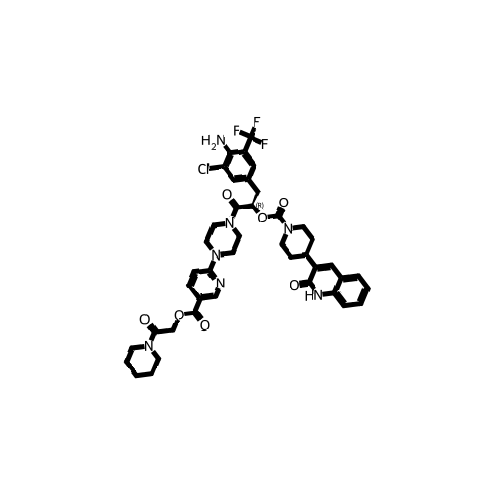 Nc1c(Cl)cc(C[C@@H](OC(=O)N2CCC(c3cc4ccccc4[nH]c3=O)CC2)C(=O)N2CCN(c3ccc(C(=O)OCC(=O)N4CCCCC4)cn3)CC2)cc1C(F)(F)F